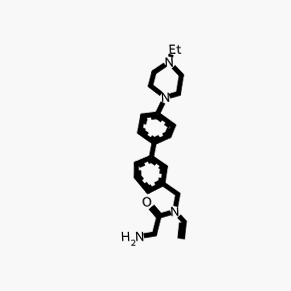 C=CN(Cc1cccc(-c2ccc(N3CCN(CC)CC3)cc2)c1)C(=O)CN